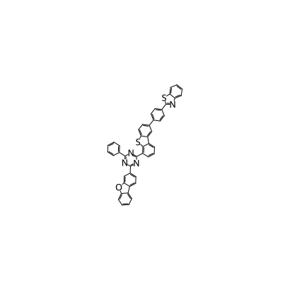 c1ccc(-c2nc(-c3ccc4c(c3)oc3ccccc34)nc(-c3cccc4c3sc3ccc(-c5ccc(-c6nc7ccccc7s6)cc5)cc34)n2)cc1